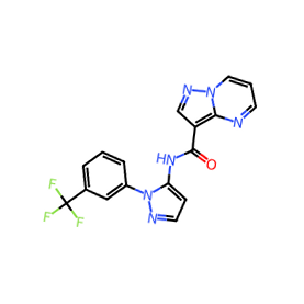 O=C(Nc1ccnn1-c1cccc(C(F)(F)F)c1)c1cnn2cccnc12